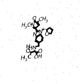 Cc1cc(-c2nc3cc(CN[C@H](C(=O)O)[C@@H](C)O)ccc3n2C[C@@H]2CCCO2)cn(C)c1=O